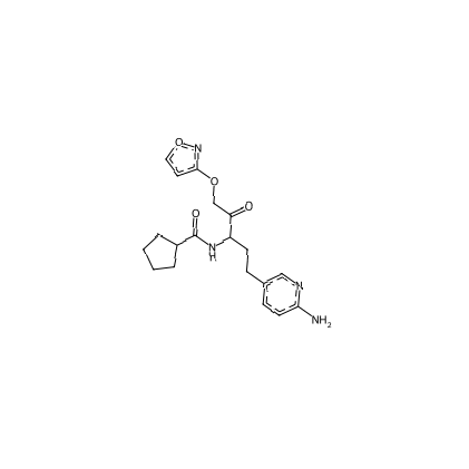 Nc1ccc(CCC(NC(=O)C2CCCC2)C(=O)COc2ccon2)cn1